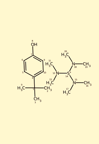 CC(C)(C)c1ccc(O)cc1.CN(C)[S+](N(C)C)N(C)C